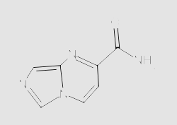 NC(=O)c1ccn2cncc2n1